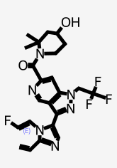 C=Cc1ncc(-c2nn(CC(F)(F)F)c3cc(C(=O)N4CCC(O)CC4(C)C)ncc23)n1/C=C/F